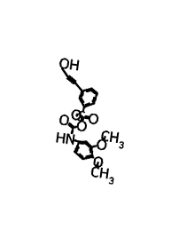 COc1ccc(NC(=O)OS(=O)(=O)c2cccc(C#CCO)c2)cc1OC